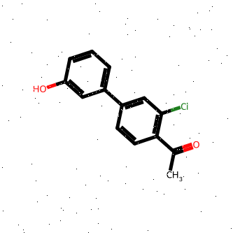 CC(=O)c1ccc(-c2cccc(O)c2)cc1Cl